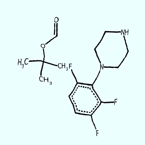 CC(C)(C)OC=O.Fc1ccc(F)c(N2CCNCC2)c1F